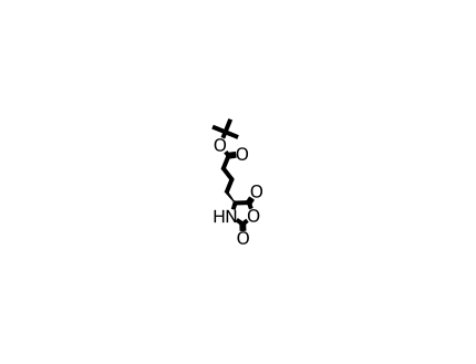 CC(C)(C)OC(=O)CCC[C@@H]1NC(=O)OC1=O